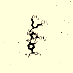 CCCCC(CCCC)n1nnc2c(Nc3ccc(C(C)C)cc3Br)nc(C)nc21